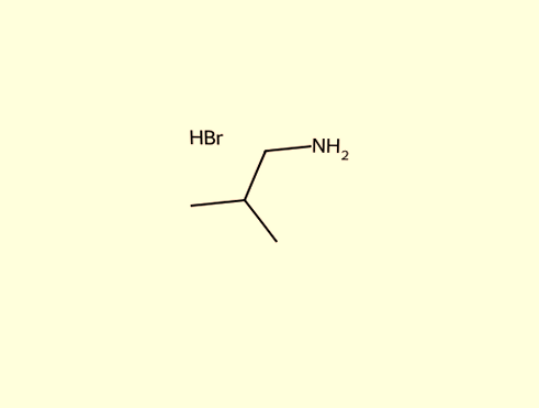 Br.CC(C)CN